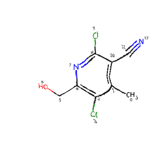 Cc1c(Cl)c(CO)nc(Cl)c1C#N